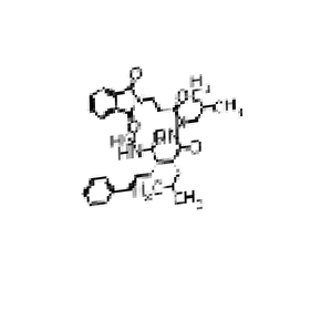 CC(C)C[C@@H](C(=O)NN(CC(C)C)C(=O)CCN1C(=O)c2ccccc2C1=O)[C@H](CC=Cc1ccccc1)C(=O)NO